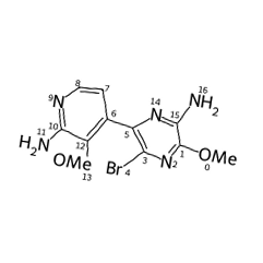 COc1nc(Br)c(-c2ccnc(N)c2OC)nc1N